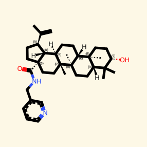 C=C(C)[C@@H]1CC[C@]2(C(=O)NCc3cccnc3)CC[C@]3(C)[C@H](CC[C@@H]4[C@@]5(C)CC[C@H](O)C(C)(C)[C@@H]5CC[C@]43C)[C@@H]12